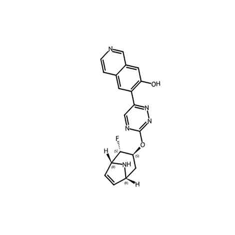 Oc1cc2cnccc2cc1-c1cnc(O[C@H]2C[C@@H]3C=C[C@@H](N3)[C@@H]2F)nn1